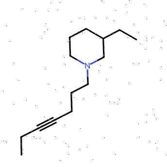 CCC#CCCCN1CCCC(CC)C1